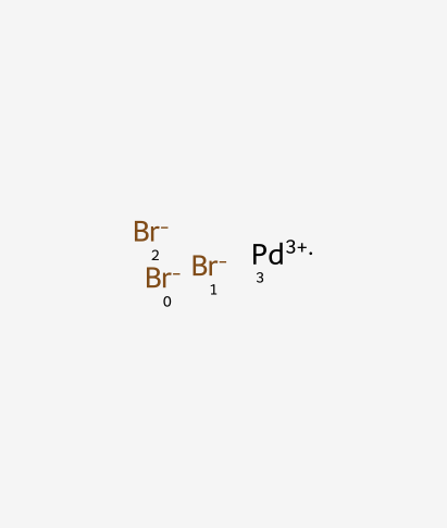 [Br-].[Br-].[Br-].[Pd+3]